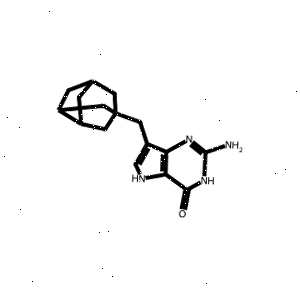 Nc1nc2c(CC34CC5CC(C3)C(C5)C4)c[nH]c2c(=O)[nH]1